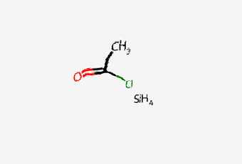 CC(=O)Cl.[SiH4]